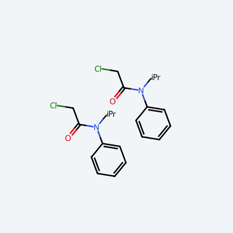 CC(C)N(C(=O)CCl)c1ccccc1.CC(C)N(C(=O)CCl)c1ccccc1